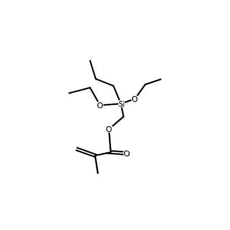 C=C(C)C(=O)OC[Si](CCC)(OCC)OCC